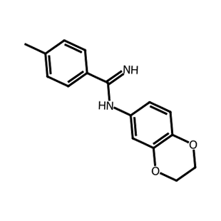 Cc1ccc(C(=N)Nc2ccc3c(c2)OCCO3)cc1